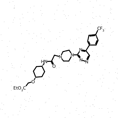 CCOC(=O)CO[C@H]1CC[C@@H](NC(=O)CN2CCN(c3nncc(-c4ccc(C(F)(F)F)cc4)n3)CC2)CC1